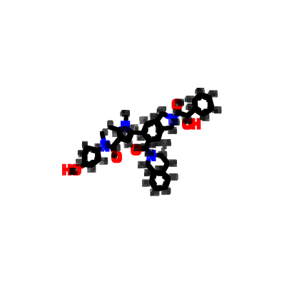 Cc1c(C(=O)N(C)c2ccc(O)cc2)cc(-c2cc3c(cc2C(=O)N2Cc4ccccc4C[C@H]2C)CN(C(=O)[C@H](O)c2ccccc2)C3)n1C